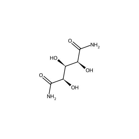 NC(=O)[C@@H](O)[C@H](O)[C@@H](O)C(N)=O